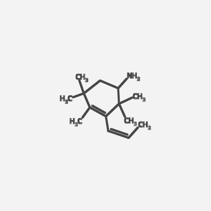 C/C=C\C1=C(C)C(C)(C)CC(N)C1(C)C